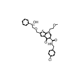 COCCn1cc(C(=O)NCc2ccc(Cl)cc2)c(=O)c2cc(COC[C@@H](O)c3ccccc3)sc21